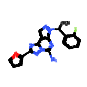 Nc1nc2c(cnn2C(C(=O)O)c2ccccc2F)c2nc(-c3ccco3)nn12